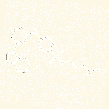 CC(C)NCCCNS(=O)(=O)c1ccc(Nc2nccc(-c3cnc4ccccn34)n2)cc1